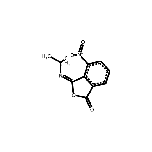 CC(C)/N=C1/OC(=O)c2cccc([N+](=O)[O-])c21